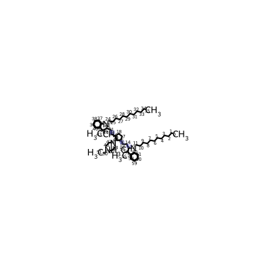 CCCCCCCCCCCCN1/C(=C/C=C2\CCC(/C=C/C3=[N+](CCCCCCCCCCCC)c4ccccc4C3(C)C)=C2N2CCN(CC)CC2)C(C)(C)c2ccccc21